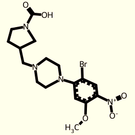 COc1cc(N2CCN(CC3CCN(C(=O)O)C3)CC2)c(Br)cc1[N+](=O)[O-]